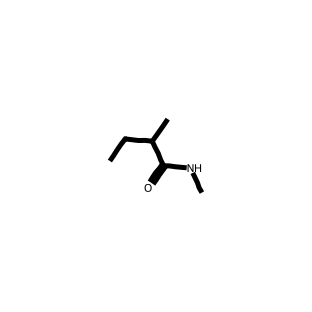 CCC(C)C(=O)NC